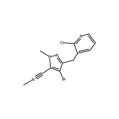 C[N+]#Cc1c(Br)c(Cc2cccnc2Cl)nn1C